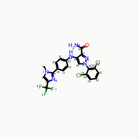 Cn1cc(C(F)(F)F)nc1-c1ccc(Nc2cn(-c3c(Cl)cccc3Cl)nc2C(N)=O)cc1